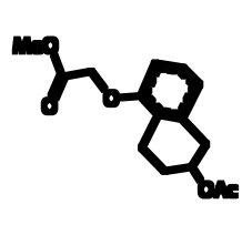 COC(=O)COc1cccc2c1CCC(OC(C)=O)C2